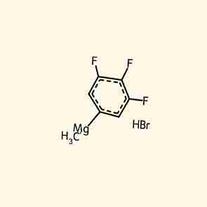 Br.[CH3][Mg][c]1cc(F)c(F)c(F)c1